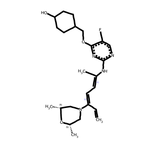 C=C/C(=C\C=C(/C)Nc1ncc(F)c(OCC2CCC(O)CC2)n1)N1C[C@@H](C)O[C@@H](C)C1